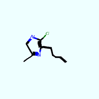 CCCCc1nc(C)cnc1Cl